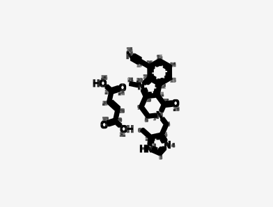 Cc1[nH]cnc1CN1CCc2c(c3cccc(C#N)c3n2C)C1=O.O=C(O)C=CC(=O)O